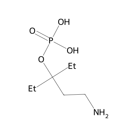 CCC(CC)(CCN)OP(=O)(O)O